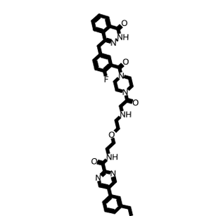 CCc1cccc(-c2cnc(C(=O)NCCOCCNCC(=O)N3CCN(C(=O)c4cc(Cc5n[nH]c(=O)c6ccccc56)ccc4F)CC3)nc2)c1